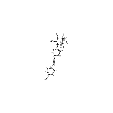 CN1C(=O)N(c2ccc(C#Cc3ccc(F)cc3)cn2)[C@@H]2CC[C@@H]21